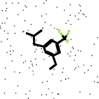 CCc1cc(CC(C)C)cc(C(F)(F)F)c1